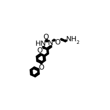 NCCOCn1cc(Cc2cccc(Oc3ccccc3)c2)c(=O)[nH]c1=O